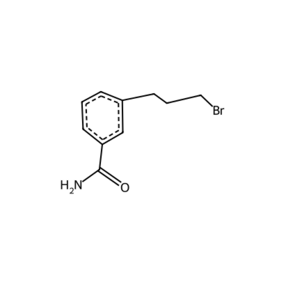 NC(=O)c1cccc(CCCBr)c1